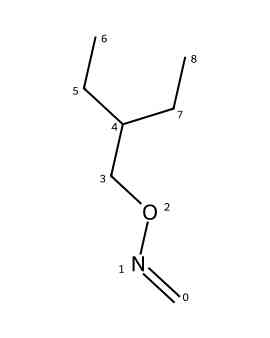 C=NOCC(CC)CC